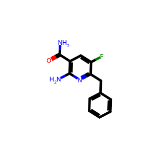 NC(=O)c1cc(F)c(Cc2ccccc2)nc1N